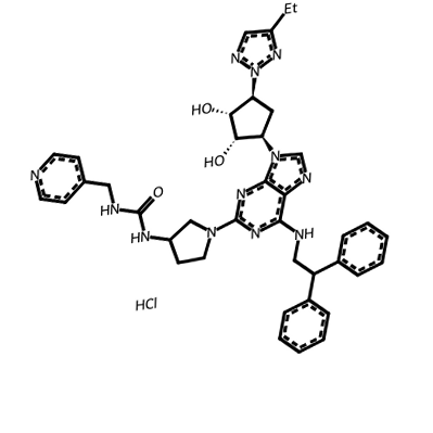 CCc1cnn([C@H]2C[C@@H](n3cnc4c(NCC(c5ccccc5)c5ccccc5)nc(N5CCC(NC(=O)NCc6ccncc6)C5)nc43)[C@H](O)[C@@H]2O)n1.Cl